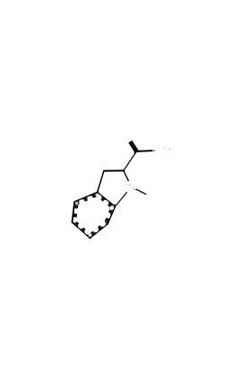 COC(=O)C1Cc2ccccc2N1C(=O)O